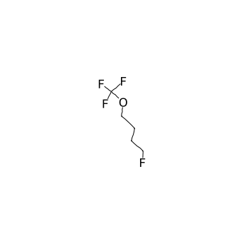 FCCCCOC(F)(F)F